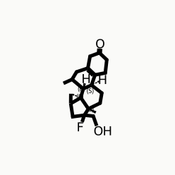 CC1CC2=C(CCC(=O)C2)[C@H]2CC[C@]3(C)C(F)(CO)CC4C[C@@]43[C@H]12